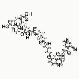 CN(CC(=O)O)C1(CCCCC(=O)NC2CCN(CC(=O)NCCCCOc3ccc4nccc(C(=O)NCC(=O)N5CC(F)(F)CC5C#N)c4c3)C2)CN(CC(=O)O)CCN(CC(=O)O)C1